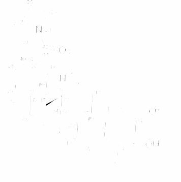 CC1=C(O)C(=O)C=C2C1=CC=C1[C@@]2(C)CC[C@@]2(C)[C@@H]3C[C@](C)(C(=O)N4CCC4)CC[C@]3(C)CC[C@]12C